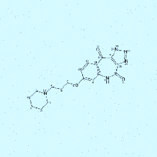 O=c1[nH]c2cc(OCCCN3CCCCC3)ccc2c(=O)c2[nH]nnc12